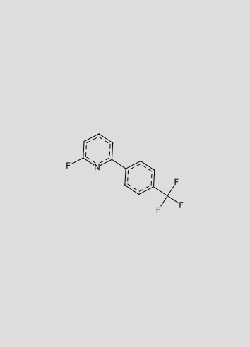 Fc1cccc(-c2ccc(C(F)(F)F)cc2)n1